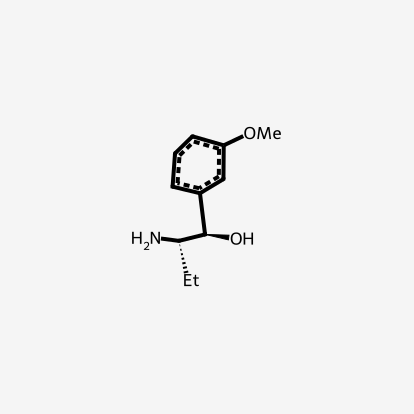 CC[C@H](N)[C@H](O)c1cccc(OC)c1